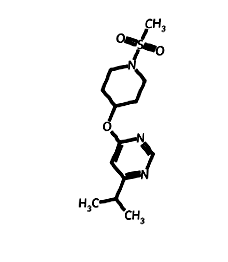 CC(C)c1cc(OC2CCN(S(C)(=O)=O)CC2)ncn1